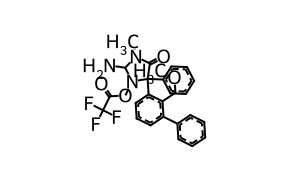 COCc1c(-c2ccccc2)cccc1C1(c2ccccc2)C(=O)N(C)C(N)N1OC(=O)C(F)(F)F